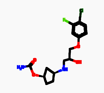 NC(=O)O[C@H]1CC[C@@H](NCC(O)COc2ccc(Cl)c(F)c2)C1